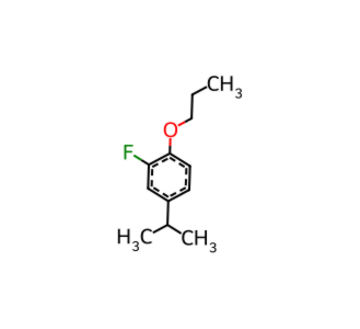 CCCOc1ccc(C(C)C)cc1F